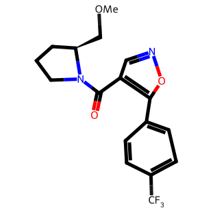 COC[C@@H]1CCCN1C(=O)c1cnoc1-c1ccc(C(F)(F)F)cc1